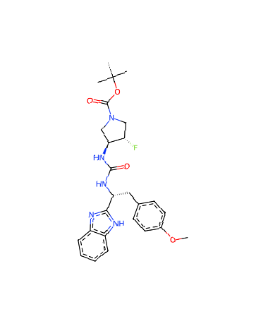 COc1ccc(C[C@@H](NC(=O)N[C@H]2CN(C(=O)OC(C)(C)C)C[C@@H]2F)c2nc3ccccc3[nH]2)cc1